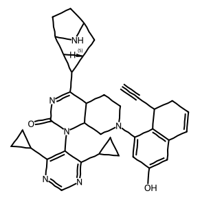 C#CC1CC=Cc2cc(O)cc(N3CCC4C(C5C6C7CCC(C[C@H]56)N7)=NC(=O)N(c5c(C6CC6)ncnc5C5CC5)C4C3)c21